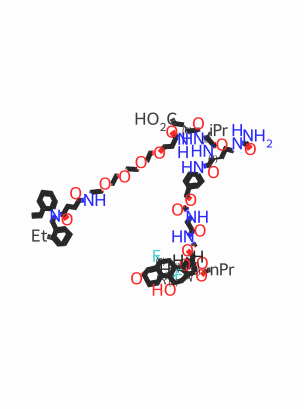 C=Cc1ccccc1N(Cc1ccccc1CC)C(=O)CCC(=O)NCCOCCOCCOCCOCCC(=O)N[C@H](CCC(=O)O)C(=O)N[C@H](C(=O)N[C@@H](CCCNC(N)=O)C(=O)Nc1ccc(COC(=O)NCC(=O)NCOCC(=O)[C@@]23OC(CCC)O[C@@H]2C[C@H]2[C@@H]4C[C@H](F)C5=CC(=O)C=C[C@]5(C)[C@@]4(F)[C@@H](O)C[C@@]23C)cc1)C(C)C